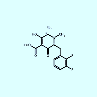 CC(C)COC(=O)C1=C(O)[C@H](C(C)(C)C)N(C)N(Cc2cccc(F)c2F)C1=O